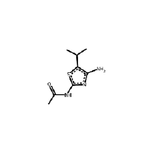 CC(=O)Nc1nc(N)c(C(C)C)s1